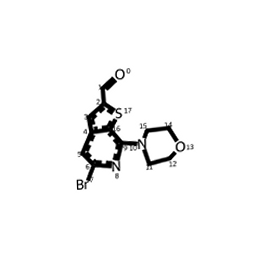 O=Cc1cc2cc(Br)nc(N3CCOCC3)c2s1